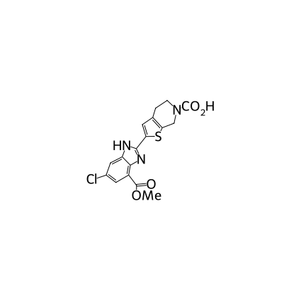 COC(=O)c1cc(Cl)cc2[nH]c(-c3cc4c(s3)CN(C(=O)O)CC4)nc12